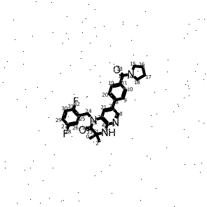 CC1(C)Nc2ncc(-c3ccc(C(=O)N4CCCC4)cc3)cc2N(Cc2cc(F)ccc2F)C1=O